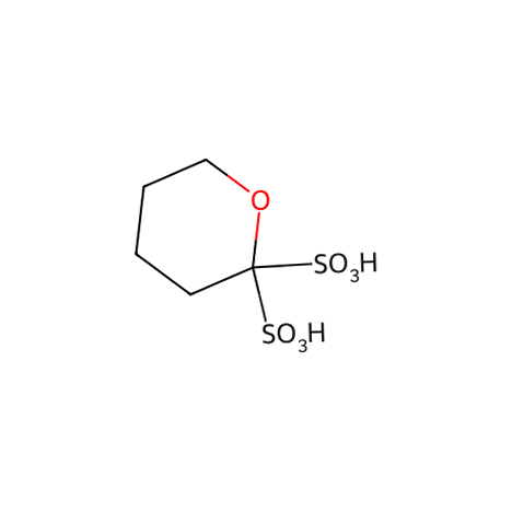 O=S(=O)(O)C1(S(=O)(=O)O)CCCCO1